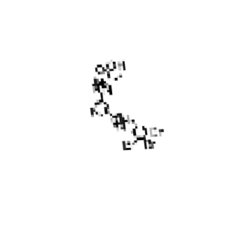 CCC(C(=O)O)n1nnc(-c2cncc(-c3cn(Cc4cc(Br)c(Br)c(Br)c4)nn3)c2)n1